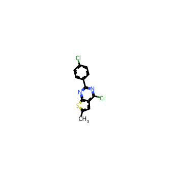 Cc1cc2c(Cl)nc(-c3ccc(Cl)cc3)nc2s1